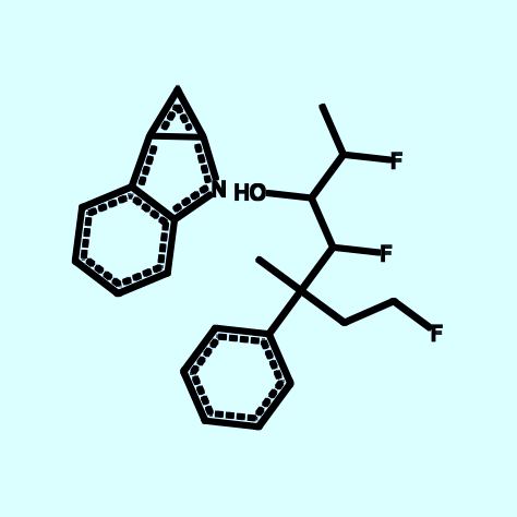 CC(F)C(O)C(F)C(C)(CCF)c1ccccc1.c1ccc2c3cc-3nc2c1